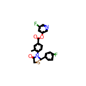 Cc1cc(C(=O)Oc2cncc(F)c2)ccc1N1C(=O)CSC1c1ccc(F)cc1